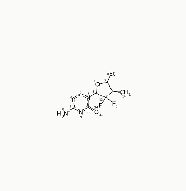 CCC1OC(n2ccc(N)nc2=O)C(F)(F)C1C